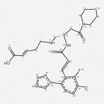 O=C(O)/C=C/CCNC[C@H](CC(=O)N1CCSCC1)NC(=O)/C=C/c1c(-n2cnnn2)ccc(Cl)c1F